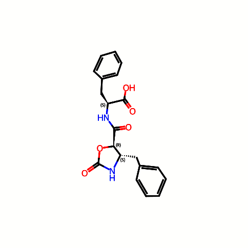 O=C1N[C@@H](Cc2ccccc2)[C@H](C(=O)N[C@@H](Cc2ccccc2)C(=O)O)O1